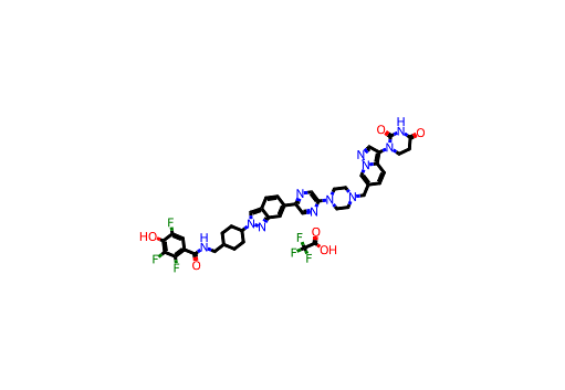 O=C(O)C(F)(F)F.O=C1CCN(c2cnn3cc(CN4CCN(c5cnc(-c6ccc7cn(C8CCC(CNC(=O)c9cc(F)c(O)c(F)c9F)CC8)nc7c6)cn5)CC4)ccc23)C(=O)N1